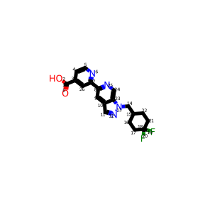 O=C(O)c1ccnc(-c2cc3cnn(CC4CCC(F)(F)CC4)c3cn2)c1